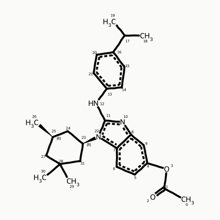 CC(=O)Oc1ccc2c(c1)nc(Nc1ccc(C(C)C)cc1)n2[C@@H]1C[C@H](C)CC(C)(C)C1